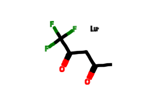 CC(=O)CC(=O)C(F)(F)F.[Lu]